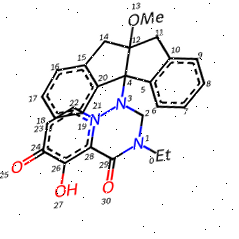 CCN1CN(C23c4ccccc4CC2(OC)Cc2ccccc23)n2ccc(=O)c(O)c2C1=O